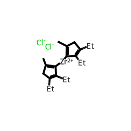 CCC1=C(CC)[C]([Zr+2][C]2=C(C)CC(CC)=C2CC)=C(C)C1.[Cl-].[Cl-]